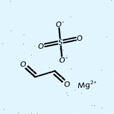 O=CC=O.O=S(=O)([O-])[O-].[Mg+2]